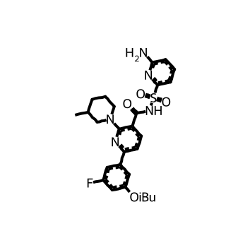 CC(C)COc1cc(F)cc(-c2ccc(C(=O)NS(=O)(=O)c3cccc(N)n3)c(N3CCCC(C)C3)n2)c1